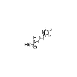 Cc1cnn(CCCNC(=O)O)c1